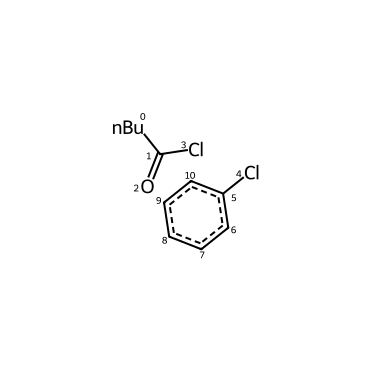 CCCCC(=O)Cl.Clc1ccccc1